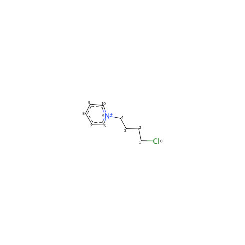 ClCCCC[n+]1ccccc1